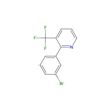 FC(F)(F)c1cccnc1-c1c[c]cc(Br)c1